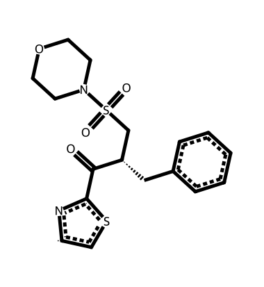 O=C(c1n[c]cs1)[C@@H](Cc1ccccc1)CS(=O)(=O)N1CCOCC1